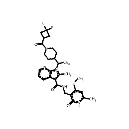 CSc1cc(C)[nH]c(=O)c1CNC(=O)c1c(C)n(C(C)C2CCN(C(=O)C3CC(F)(F)C3)CC2)c2ncccc12